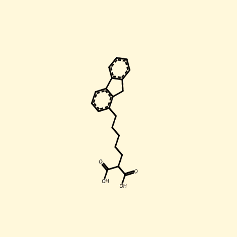 O=C(O)C(CCCCCc1cccc2c1Cc1ccccc1-2)C(=O)O